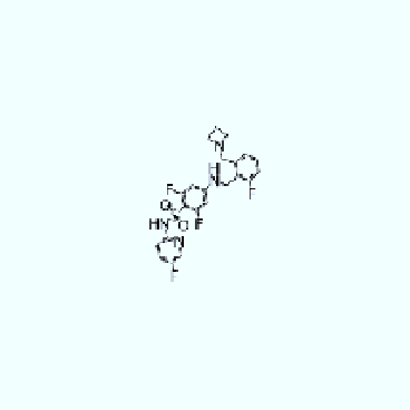 O=S(=O)(Nc1ccc(F)cn1)c1c(F)cc(NCc2c(F)cccc2CN2CCC2)cc1F